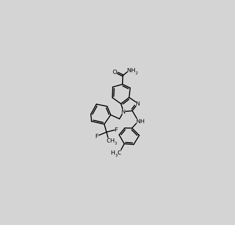 Cc1ccc(Nc2nc3cc(C(N)=O)ccc3n2Cc2ccccc2C(C)(F)F)cc1